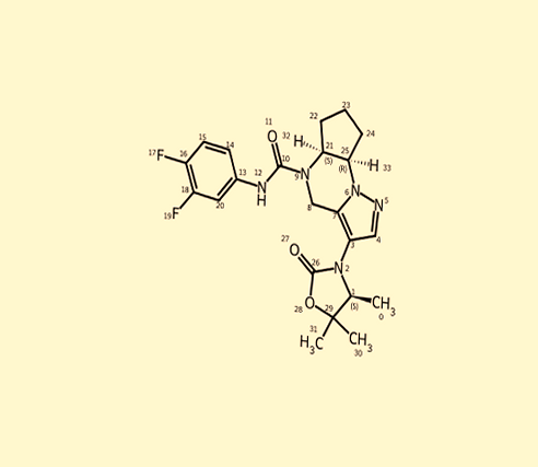 C[C@@H]1N(c2cnn3c2CN(C(=O)Nc2ccc(F)c(F)c2)[C@H]2CCC[C@H]23)C(=O)OC1(C)C